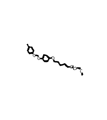 C=C=COOCCCCCOc1ccc(OCOc2ccc(C)cc2)cc1